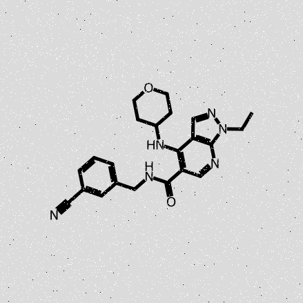 CCn1ncc2c(NC3CCOCC3)c(C(=O)NCc3cccc(C#N)c3)cnc21